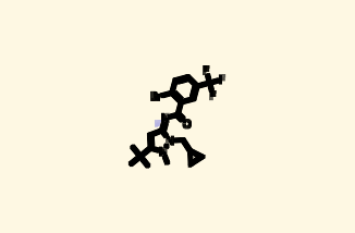 Cn1c(C(C)(C)C)c/c(=N/C(=O)c2cc(C(F)(F)F)ccc2Br)n1CC1CC1